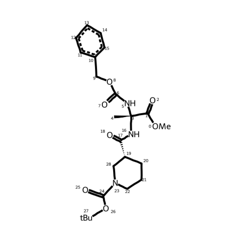 COC(=O)[C@@](C)(NC(=O)OCc1ccccc1)NC(=O)[C@@H]1CCCN(C(=O)OC(C)(C)C)C1